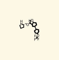 FC(F)(F)Oc1ccc(-c2ccc3onc(OC[C@@H]4CCCN4)c3c2)cc1